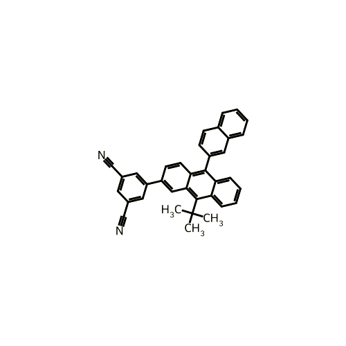 CC(C)(C)c1c2ccccc2c(-c2ccc3ccccc3c2)c2ccc(-c3cc(C#N)cc(C#N)c3)cc12